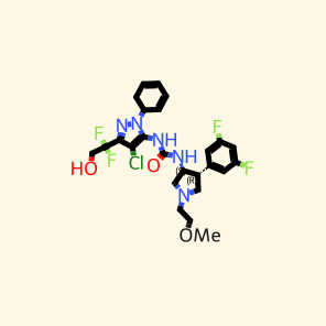 COCCN1C[C@@H](NC(=O)Nc2c(Cl)c(C(F)(F)CO)nn2C2C=CC=CC2)[C@H](c2cc(F)cc(F)c2)C1